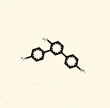 Nc1ccc(-c2ccc(N)c(-c3ccc(N)cc3)c2)cc1